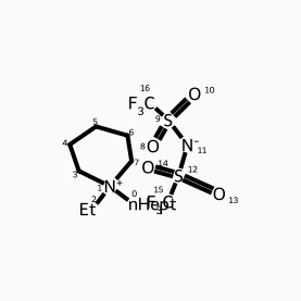 CCCCCCC[N+]1(CC)CCCCC1.O=S(=O)([N-]S(=O)(=O)C(F)(F)F)C(F)(F)F